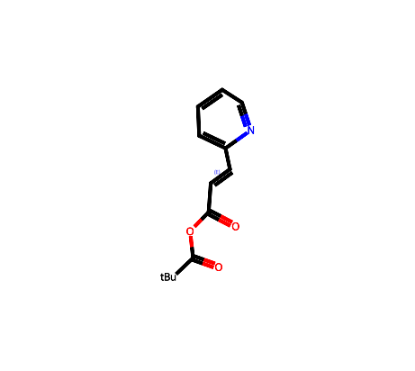 CC(C)(C)C(=O)OC(=O)/C=C/c1ccccn1